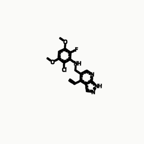 C=Cc1c(CNc2c(F)c(OC)cc(OC)c2Cl)cnc2[nH]ncc12